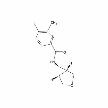 Cc1nc(C(=O)N[C@H]2[C@@H]3COC[C@@H]32)ccc1I